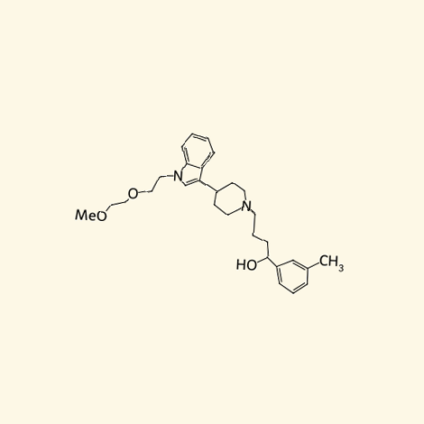 COCCOCCn1cc(C2CCN(CCCC(O)c3cccc(C)c3)CC2)c2ccccc21